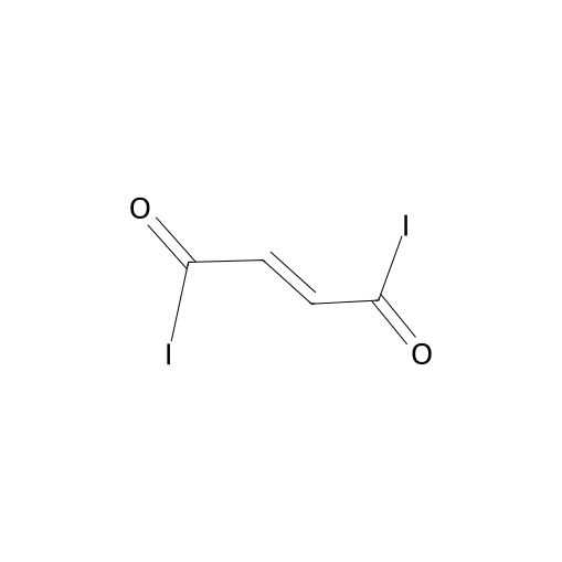 O=C(I)/C=C/C(=O)I